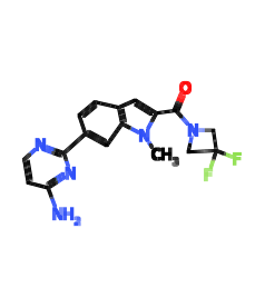 Cn1c(C(=O)N2CC(F)(F)C2)cc2ccc(-c3nccc(N)n3)cc21